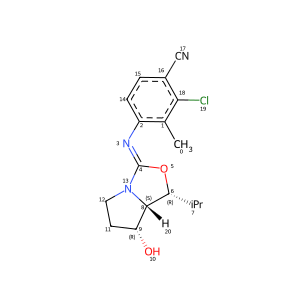 Cc1c(N=C2O[C@H](C(C)C)[C@@H]3[C@H](O)CCN23)ccc(C#N)c1Cl